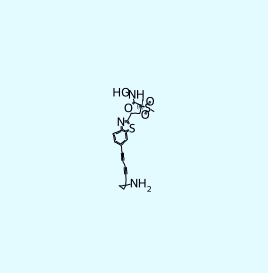 C[C@@](CCc1nc2ccc(C#CC#CC3(N)CC3)cc2s1)(C(=O)NO)S(C)(=O)=O